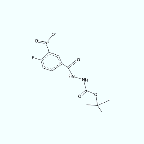 CC(C)(C)OC(=O)NNC(=O)c1ccc(F)c([N+](=O)[O-])c1